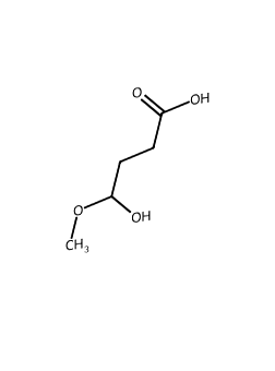 COC(O)CCC(=O)O